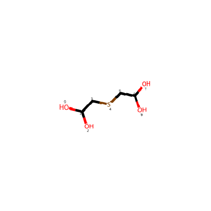 OC(O)CSCC(O)O